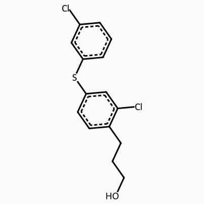 OCCCc1ccc(Sc2cccc(Cl)c2)cc1Cl